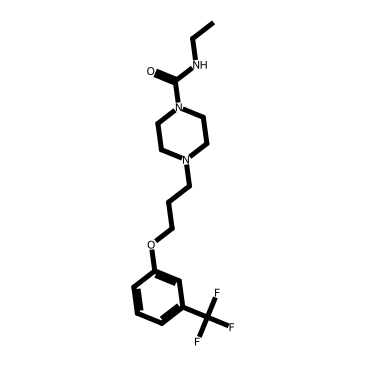 CCNC(=O)N1CCN(CCCOc2cccc(C(F)(F)F)c2)CC1